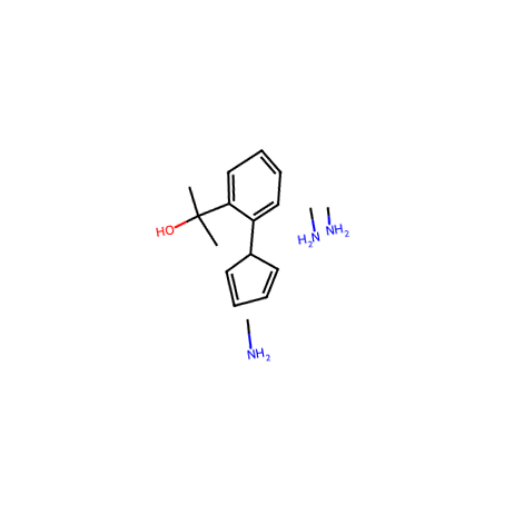 CC(C)(O)c1ccccc1C1C=CC=C1.CN.CN.CN